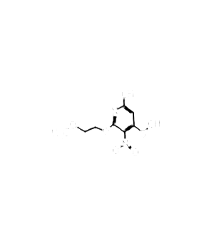 COCCOc1nc(C)cc(SC)c1[N+](=O)[O-]